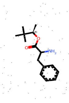 C[C@@H](OC(=O)C(N)Cc1ccccc1)C(C)(C)C